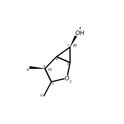 CC1OC2C([C@@H]1C)[C@H]2O